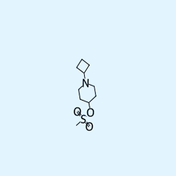 CS(=O)(=O)OC1CCN(C2CCC2)CC1